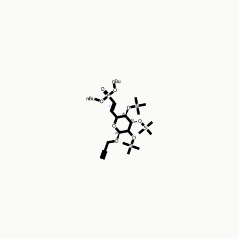 C#CCO[C@H]1OC(/C=C/P(=O)(OCCCC)OCCCC)[C@@H](O[Si](C)(C)C)[C@H](O[Si](C)(C)C)C1O[Si](C)(C)C